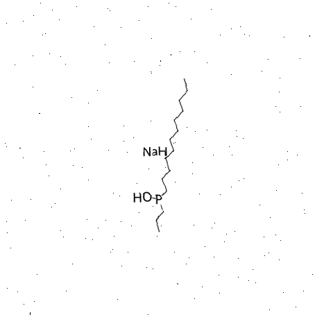 CCCCCCCCCCCCP(O)CCC.[NaH]